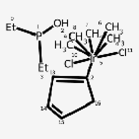 CCP(O)CC.[CH3][Ir]([CH3])([CH3])([CH3])([CH3])([Cl])([Cl])[C]1=CC=CC1